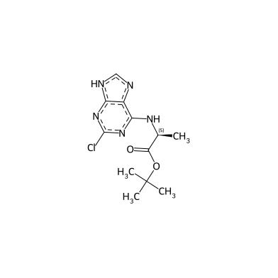 C[C@H](Nc1nc(Cl)nc2[nH]cnc12)C(=O)OC(C)(C)C